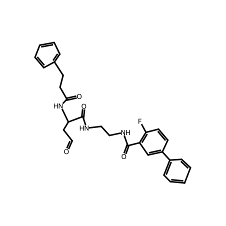 O=CCC(NC(=O)CCc1ccccc1)C(=O)NCCNC(=O)c1cc(-c2ccccc2)ccc1F